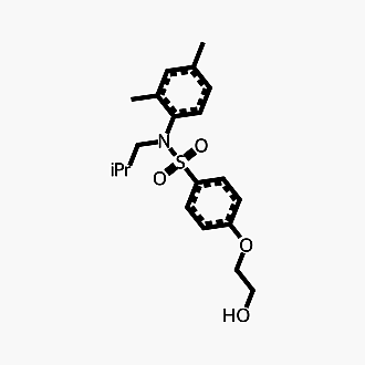 Cc1ccc(N(CC(C)C)S(=O)(=O)c2ccc(OCCO)cc2)c(C)c1